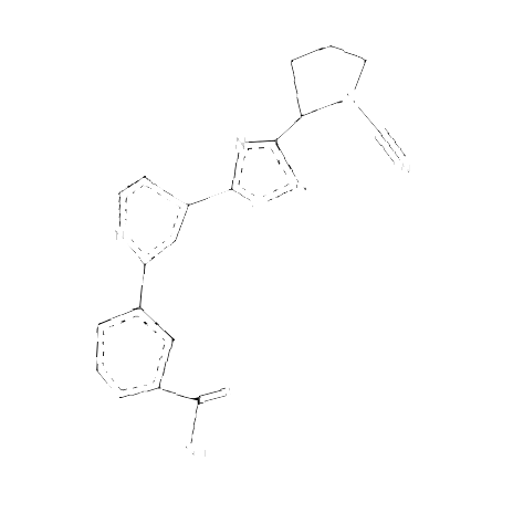 N#CN1CCCC1c1noc(-c2ccnc(-c3cccc(C(N)=O)c3)c2)n1